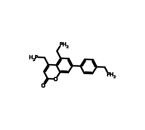 O=c1cc(CP)c2c(CP)cc(-c3ccc(CP)cc3)cc2o1